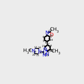 Cc1nc2ccc(-c3cc(C)c4nnc(N5CCN(C)CC5)n4c3)cc2o1